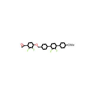 COc1ccc(-c2ccc(-c3ccc(COc4ccc(C5CO5)c(F)c4F)cc3)c(F)c2F)cc1